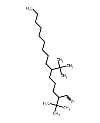 CCCCCCCCCC(CCCC(C=O)C(C)(C)C)C(C)(C)C